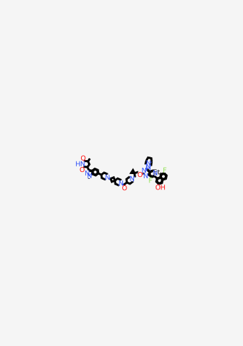 CCc1c(F)ccc2cc(O)cc(-c3ncc4c(N5CC6CCC(C5)N6)nc(OCC5(CN6CCC(C(=O)N7CCC8(CC7)CC(N7CCC(c9ccc%10c(C%11CC(C)C(=O)NC%11=O)nn(C)c%10c9)CC7)C8)CC6)CC5)nc4c3F)c12